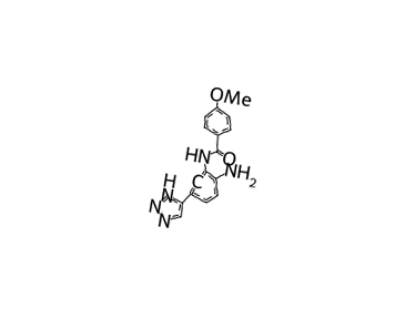 COc1ccc(C(=O)Nc2cc(-c3cnn[nH]3)ccc2N)cc1